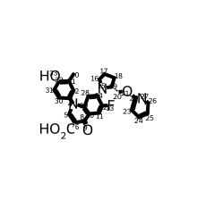 Cc1cc(-n2cc(C(=O)O)c(=O)c3cc(F)c(N4CCC[C@@H]4COc4ccccn4)cc32)ccc1O